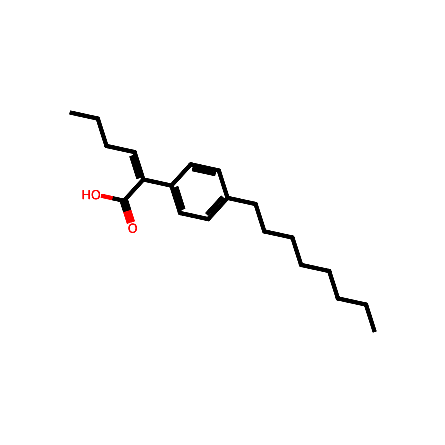 CCCC=C(C(=O)O)c1ccc(CCCCCCCC)cc1